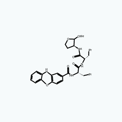 COC1OCC[C@@H]1NC(=O)[C@H](CC(C)C)NC(=O)[C@H](CC(C)C)NC(=O)c1ccc2c(c1)Nc1ccccc1O2